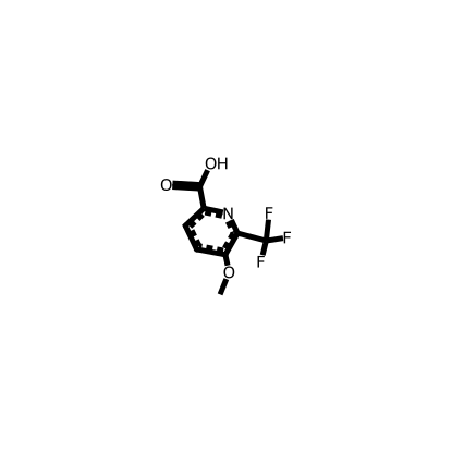 COc1ccc(C(=O)O)nc1C(F)(F)F